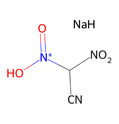 N#CC([N+](=O)[O-])[N+](=O)O.[NaH]